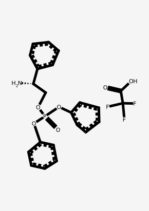 N[C@@H](COP(=O)(Oc1ccccc1)Oc1ccccc1)c1ccccc1.O=C(O)C(F)(F)F